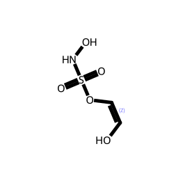 O=S(=O)(NO)O/C=C\O